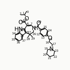 CC(C)OC(=O)C1=CN(C(=O)c2ccc(OCCN3CCCCC3)cc2)CC(C)(C)c2c1[nH]c1ccccc21